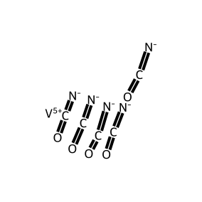 [N-]=C=O.[N-]=C=O.[N-]=C=O.[N-]=C=O.[N-]=C=O.[V+5]